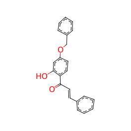 O=C(C=Cc1ccccc1)c1ccc(OCc2ccccc2)cc1O